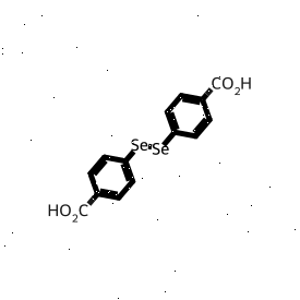 O=C(O)c1ccc([Se][Se]c2ccc(C(=O)O)cc2)cc1